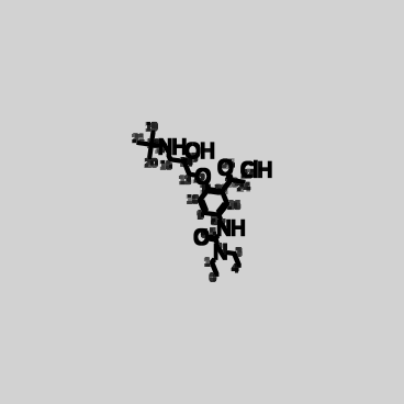 CCN(CC)C(=O)Nc1ccc(OCC(O)CNC(C)(C)C)c(C(C)=O)c1.Cl